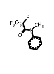 CN(C(=O)[C@@H](F)C(F)(F)F)c1ccccc1